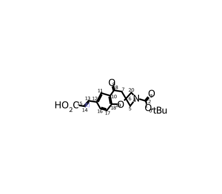 CC(C)(C)OC(=O)N1CC2(CC(=O)c3cc(/C=C/C(=O)O)ccc3O2)C1